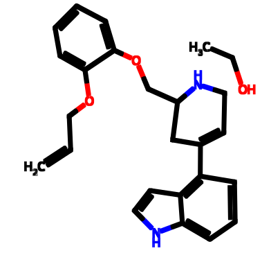 C=CCOc1ccccc1OCC1CC(c2cccc3[nH]ccc23)=CCN1.CCO